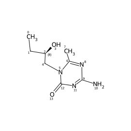 CC[C@@H](O)Cn1c(C)nc(N)nc1=O